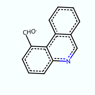 O=[C]c1cccc2ncc3ccccc3c12